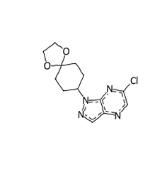 Clc1cnc2cnn(C3CCC4(CC3)OCCO4)c2n1